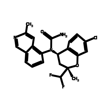 Cc1cc2c(N(C(N)=O)[C@@H]3C[C@@](C)(C(F)F)Oc4cc(Cl)ccc43)cccc2cn1